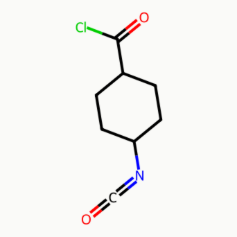 O=C=NC1CCC(C(=O)Cl)CC1